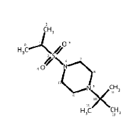 CC(C)S(=O)(=O)N1CCN(C(C)(C)C)CC1